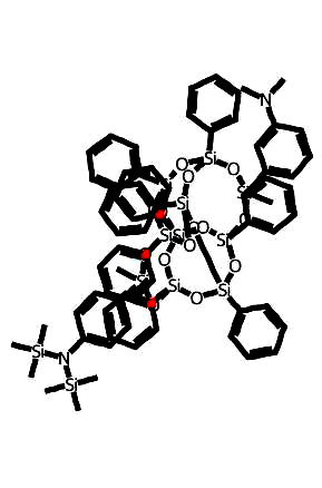 CN(C)c1cccc([Si]2(C)O[Si]3(c4ccccc4)O[Si]4(c5ccccc5)O[Si]5(c6ccccc6)O[Si](C)(c6ccc(N([Si](C)(C)C)[Si](C)(C)C)cc6)O[Si]6(c7ccccc7)O[Si](c7ccccc7)(O[Si](c7ccccc7)(O2)O[Si](c2ccccc2)(O6)O[Si](c2ccccc2)(O5)O3)O4)c1